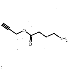 C#CCOC(=O)CCCN